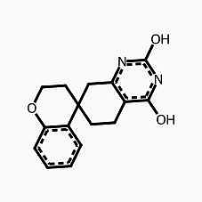 Oc1nc(O)c2c(n1)CC1(CCOc3ccccc31)CC2